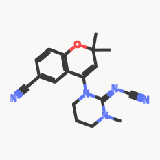 CN1CCCN(C2=CC(C)(C)Oc3ccc(C#N)cc32)C1=NC#N